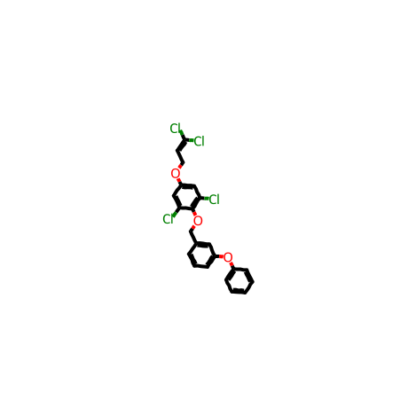 ClC(Cl)=CCOc1cc(Cl)c(OCc2cccc(Oc3ccccc3)c2)c(Cl)c1